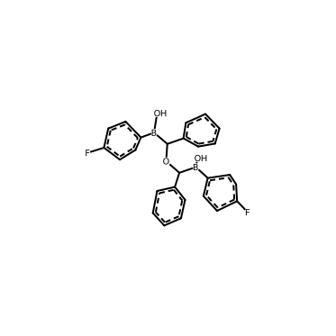 OB(c1ccc(F)cc1)C(OC(B(O)c1ccc(F)cc1)c1ccccc1)c1ccccc1